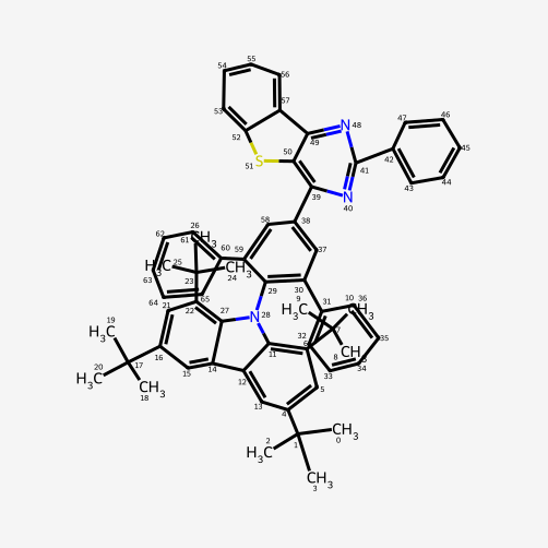 CC(C)(C)c1cc(C(C)(C)C)c2c(c1)c1cc(C(C)(C)C)cc(C(C)(C)C)c1n2-c1c(-c2ccccc2)cc(-c2nc(-c3ccccc3)nc3c2sc2ccccc23)cc1-c1ccccc1